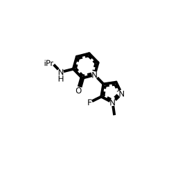 CC(C)Nc1cccn(-c2cnn(C)c2F)c1=O